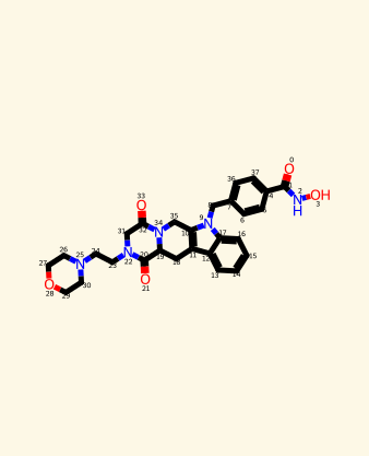 O=C(NO)c1ccc(Cn2c3c(c4ccccc42)CC2C(=O)N(CCN4CCOCC4)CC(=O)N2C3)cc1